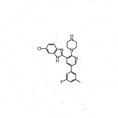 Cc1cc(F)cc(-c2cnc(N3CCNCC3)c(-c3nc4ccc(Cl)cc4[nH]3)c2)c1